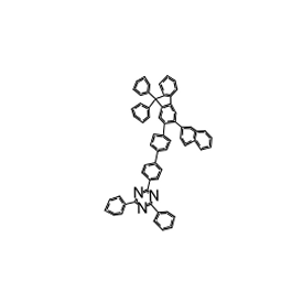 c1ccc(-c2nc(-c3ccccc3)nc(-c3ccc(-c4ccc(-c5cc6c(cc5-c5ccc7ccccc7c5)-c5ccccc5C6(c5ccccc5)c5ccccc5)cc4)cc3)n2)cc1